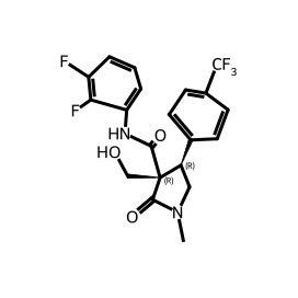 CN1C[C@H](c2ccc(C(F)(F)F)cc2)[C@@](CO)(C(=O)Nc2cccc(F)c2F)C1=O